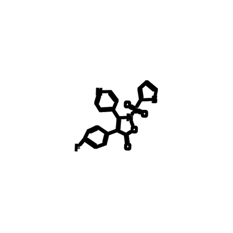 O=c1on(S(=O)(=O)c2cccs2)c(-c2ccncc2)c1-c1ccc(F)cc1